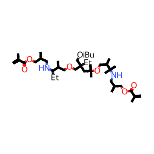 C=C(C)C(=O)OCC(C)CNC(CC)C(C)COCC(CC)(COCC(C)C)CC(C)(C)OCC(C)C(C)(C)NCC(C)COC(=O)C(=C)C